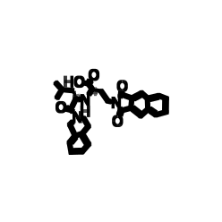 CC(C)C[C@H](N[C@H](CCN1C(=O)c2cc3ccccc3cc2C1=O)C(=O)O)C(=O)N1CCc2ccccc2C1